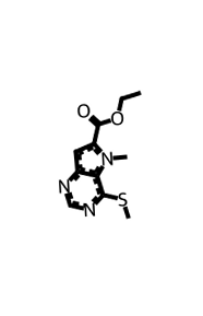 CCOC(=O)c1cc2ncnc(SC)c2n1C